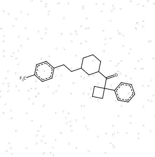 O=C(C1CCCC(CCc2ccc(C(F)(F)F)cc2)C1)C1(c2ccccc2)CCC1